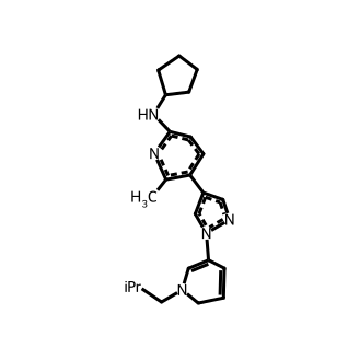 Cc1nc(NC2CCCC2)ccc1-c1cnn(C2=CN(CC(C)C)CC=C2)c1